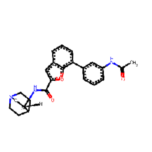 CC(=O)Nc1cccc(-c2cccc3cc(C(=O)N[C@H]4CN5CCC4CC5)oc23)c1